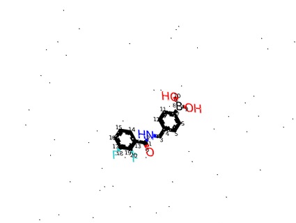 O=C(NCc1ccc(B(O)O)cc1)c1cccc(F)c1F